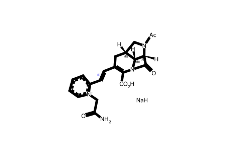 CC(=O)N1C[C@H]2CC(/C=C/c3cccc[n+]3CC(N)=O)=C(C(=O)O)N3C(=O)[C@@H]1[C@@H]23.[NaH]